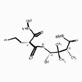 CNC(=O)[C@H](C)C(C)(C)[C@H](O)NC(=O)[C@H](CCC(C)C)C(=O)NO